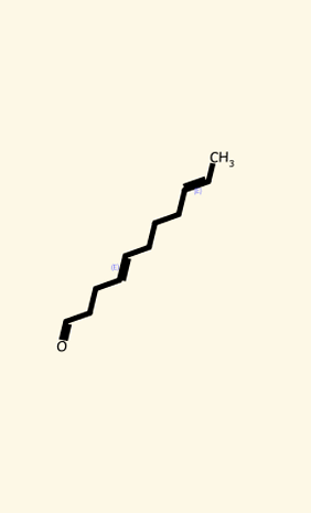 C/C=C/CCC/C=C/CCC=O